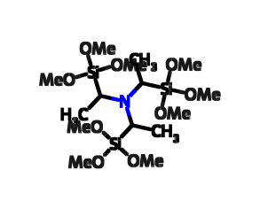 CO[Si](OC)(OC)C(C)N(C(C)[Si](OC)(OC)OC)C(C)[Si](OC)(OC)OC